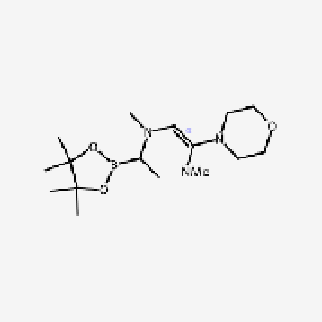 CN/C(=C\N(C)C(C)B1OC(C)(C)C(C)(C)O1)N1CCOCC1